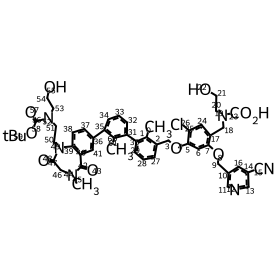 Cc1c(COc2cc(OCc3cncc(C#N)c3)c(CN(CCO)C(=O)O)cc2Cl)cccc1-c1cccc(-c2ccc3c(c2)C(=O)N(C)CC(=O)N3CCN(CCO)C(=O)OC(C)(C)C)c1C